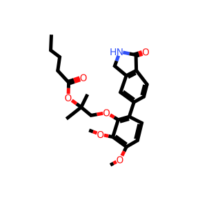 CCCCC(=O)OC(C)(C)COc1c(-c2ccc3c(c2)CNC3=O)ccc(OC)c1OC